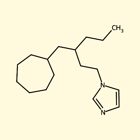 CCCC(CCn1ccnc1)CC1CCCCCC1